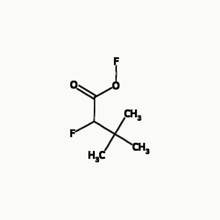 CC(C)(C)C(F)C(=O)OF